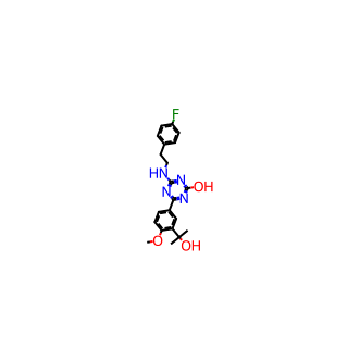 COc1ccc(-c2nc(O)nc(NCCc3ccc(F)cc3)n2)cc1C(C)(C)O